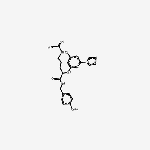 COc1ccc(CNC(=O)C(CCCNC(=N)N)Nc2cc(Cl)nc(-n3ccnc3)n2)cc1